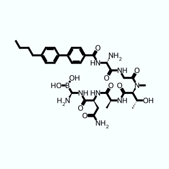 CCCCc1ccc(-c2ccc(C(=O)N[C@H](N)C(=O)NCC(=O)N(C)[C@H](C(=O)N[C@@H](C)C(=O)N[C@@H](CC(N)=O)C(=O)N[C@@H](N)B(O)O)[C@@H](C)O)cc2)cc1